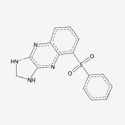 O=S(=O)(c1ccccc1)c1cccc2nc3c(nc12)NCN3